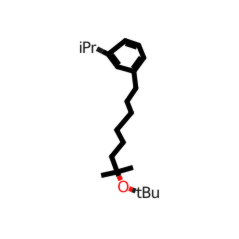 CC(C)c1cccc(CCCCCCC(C)(C)OC(C)(C)C)c1